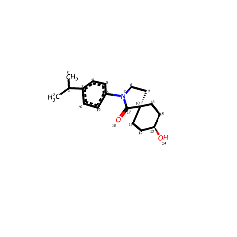 CC(C)c1ccc(N2CC[C@]3(CC[C@H](O)CC3)C2=O)cc1